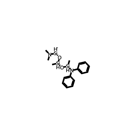 CN(C)[SiH](C)O[SiH](C)O[SiH](C)N(c1ccccc1)c1ccccc1